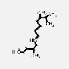 C=C(CCCCNCC(C)CCC)C(C)C